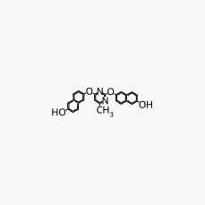 Cc1cc(Oc2ccc3cc(O)ccc3c2)nc(Oc2ccc3cc(O)ccc3c2)n1